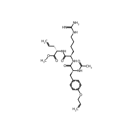 C=CCOc1ccc(C[C@H](NC(C)=O)C(=O)N[C@H](CCCCNC(=N)N)C(=O)N[C@@H](CC=C)C(=O)OC)cc1